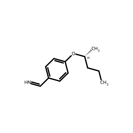 CCC[C@@H](C)Oc1ccc(C=N)cc1